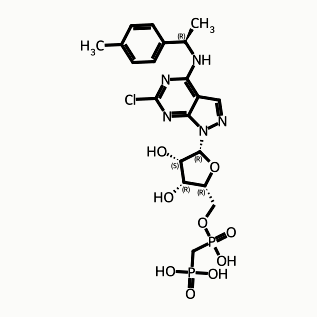 Cc1ccc([C@@H](C)Nc2nc(Cl)nc3c2cnn3[C@@H]2O[C@H](COP(=O)(O)CP(=O)(O)O)[C@H](O)[C@@H]2O)cc1